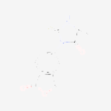 CC1(C)NC(=S)N(c2ccc3c(c2)COC3=O)C1=O